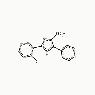 O=C(O)c1nc(-c2ccccc2Cl)[nH]c1-c1ccncc1